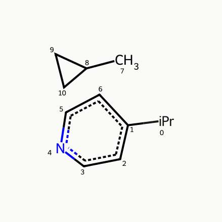 CC(C)c1ccncc1.CC1CC1